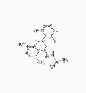 Cc1ccnc2c1C(=NNC(=N)N)CC(c1c(Cl)cccc1Cl)C2.Cl